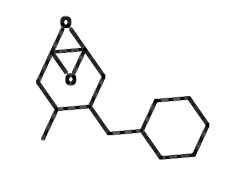 CC1CC23OC2(CC1CC1CCCCC1)O3